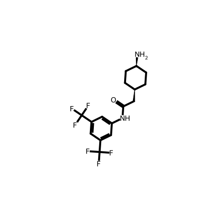 N[C@H]1CC[C@@H](CC(=O)Nc2cc(C(F)(F)F)cc(C(F)(F)F)c2)CC1